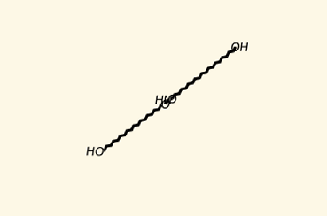 OCCCCCCCCCCCCCCCCCCONOCCCCCCCCCCCCCCCCCCO